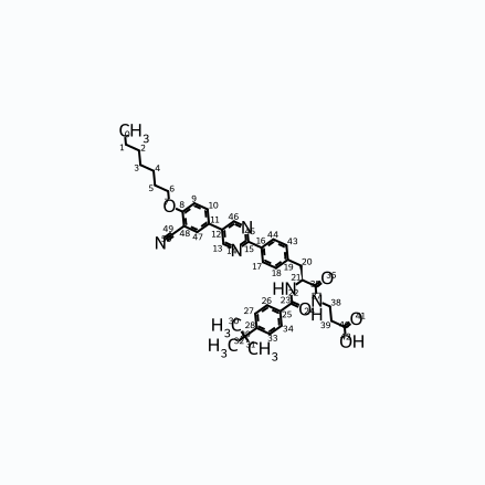 CCCCCCCOc1ccc(-c2cnc(-c3ccc(C[C@H](NC(=O)c4ccc(C(C)(C)C)cc4)C(=O)NCCC(=O)O)cc3)nc2)cc1C#N